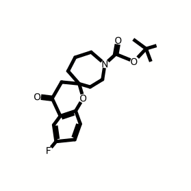 CC(C)(C)OC(=O)N1CCCC2(CC1)CC(=O)c1cc(F)ccc1O2